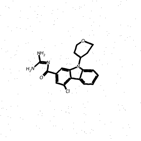 NC(N)=NC(=O)c1cc(Cl)c2c3ccccc3n(C3CCOCC3)c2c1